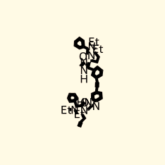 C#CCCN(Cc1nc2ccc(C#Cc3cccc(-c4[nH]cnc4[C@@H]4CCCN4C(=O)C(c4ccccc4)N(CC)CC)c3)cc2[nH]1)C(=O)[C@@H](c1ccccc1)N(CC)CC